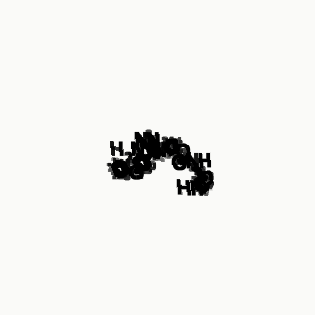 Nc1ncnc2c1c(-c1ccc(Oc3ccccc3)cc1)cn2C1CCC(OC(=O)NCCC2CNCCO2)C1